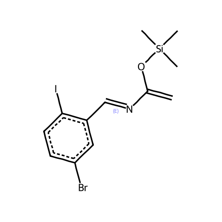 C=C(/N=C/c1cc(Br)ccc1I)O[Si](C)(C)C